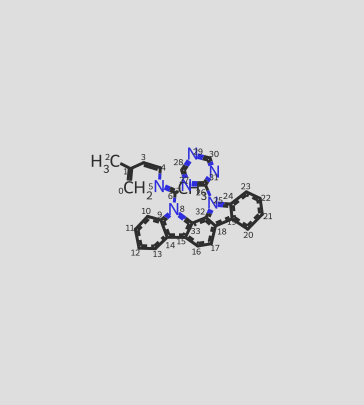 C=C(C)/C=C\N=C(/C)n1c2ccccc2c2ccc3c4ccccc4n(-c4ncncn4)c3c21